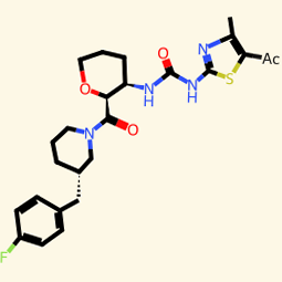 CC(=O)c1sc(NC(=O)N[C@@H]2CCCO[C@@H]2C(=O)N2CCC[C@@H](Cc3ccc(F)cc3)C2)nc1C